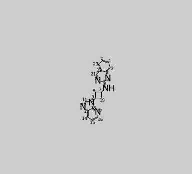 c1ccc2nc(NC3CC(n4cnc5cccnc54)C3)ncc2c1